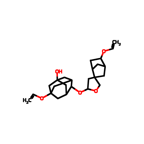 C=COC1CC2CC1CC21COC(OC2C3CC4(O)CC2CC(OC=C)(C3)C4)C1